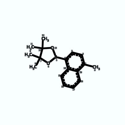 Cc1ccc(B2OC(C)(C)C(C)(C)O2)c2ccccc12